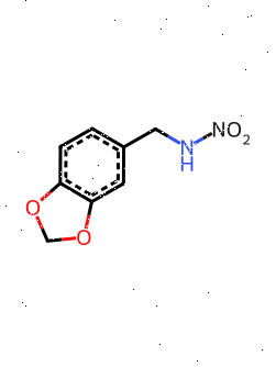 O=[N+]([O-])NCc1ccc2c(c1)OCO2